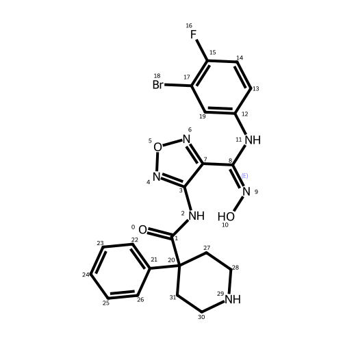 O=C(Nc1nonc1/C(=N\O)Nc1ccc(F)c(Br)c1)C1(c2ccccc2)CCNCC1